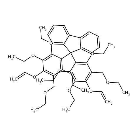 C=COc1c(COCC)c(OCC)c(C2(c3c(OCC)c(COCC)c(OC=C)c(OCC)c3OCC)c3ccccc3-c3ccccc32)c(OCC)c1OCC